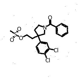 CS(=O)(=O)OCCC1(c2ccc(Cl)c(Cl)c2)CCN(C(=O)c2ccccc2)C1